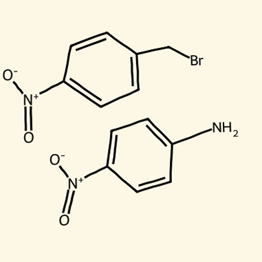 Nc1ccc([N+](=O)[O-])cc1.O=[N+]([O-])c1ccc(CBr)cc1